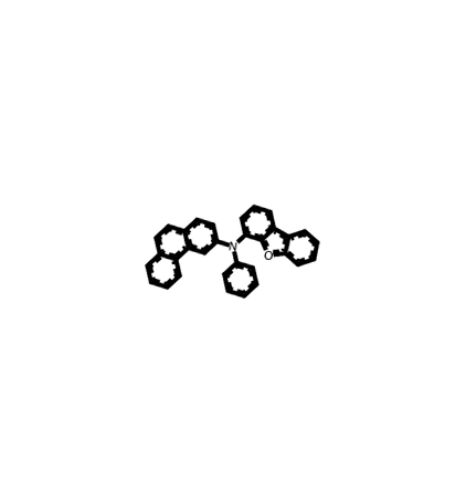 c1ccc(N(c2ccc3ccc4ccccc4c3c2)c2cccc3c2oc2ccccc23)cc1